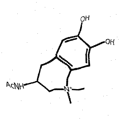 CC(=O)NC1Cc2cc(O)c(O)cc2[N+](C)(C)C1